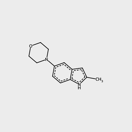 Cc1cc2cc(N3CCOCC3)ccc2[nH]1